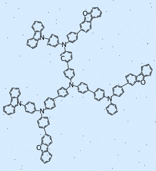 c1ccc(N(c2ccc(-c3ccc(N(c4ccc(-c5ccc(N(c6ccc(-c7ccc8c(c7)oc7ccccc78)cc6)c6ccc(-n7c8ccccc8c8ccccc87)cc6)cc5)cc4)c4ccc(-c5ccc(N(c6ccc(-c7ccc8c(c7)oc7ccccc78)cc6)c6ccc(-n7c8ccccc8c8ccccc87)cc6)cc5)cc4)cc3)cc2)c2ccc(-c3ccc4c(c3)oc3ccccc34)cc2)cc1